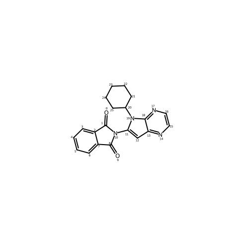 O=C1c2ccccc2C(=O)N1c1cc2nccnc2n1C1CCCCC1